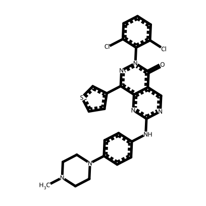 CN1CCN(c2ccc(Nc3ncc4c(=O)n(-c5c(Cl)cccc5Cl)nc(-c5ccsc5)c4n3)cc2)CC1